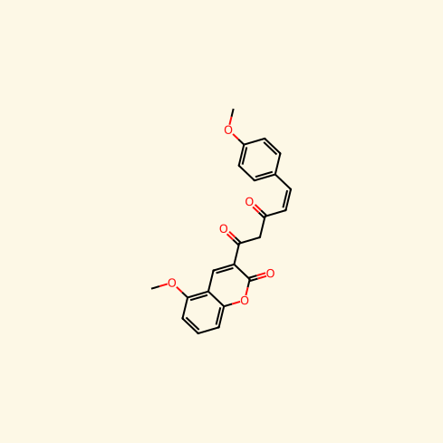 COc1ccc(/C=C\C(=O)CC(=O)c2cc3c(OC)cccc3oc2=O)cc1